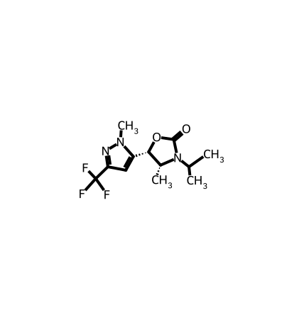 CC(C)N1C(=O)O[C@@H](c2cc(C(F)(F)F)nn2C)[C@H]1C